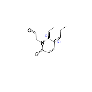 C/C=c1\c(=C/CC)ccc(=O)n1CC=O